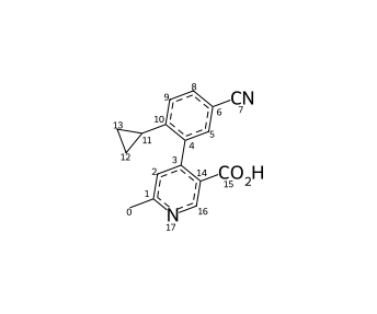 Cc1cc(-c2cc(C#N)ccc2C2CC2)c(C(=O)O)cn1